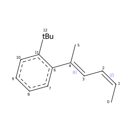 C/C=C\C=C(/C)c1ccccc1C(C)(C)C